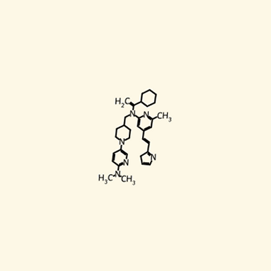 C=C(C1CCCCC1)N(CC1CCN(c2ccc(N(C)C)nc2)CC1)c1cc(/C=C/C2=NC=CC2)cc(C)n1